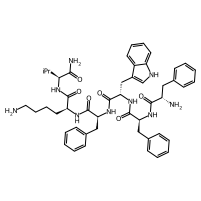 CC(C)[C@H](NC(=O)[C@H](CCCCN)NC(=O)[C@H](Cc1ccccc1)NC(=O)[C@H](Cc1c[nH]c2ccccc12)NC(=O)[C@H](Cc1ccccc1)NC(=O)[C@@H](N)Cc1ccccc1)C(N)=O